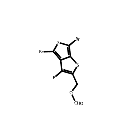 O=COCc1sc2c(Br)sc(Br)c2c1F